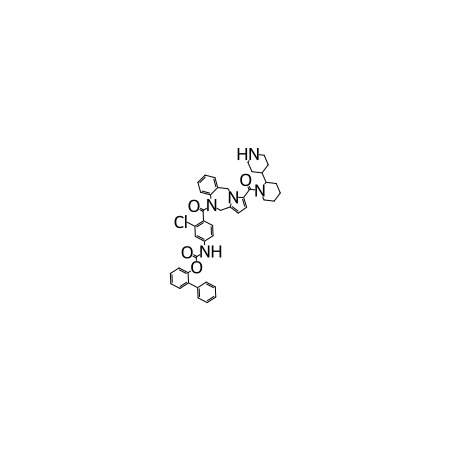 O=C(Nc1ccc(C(=O)N2Cc3ccc(C(=O)N4CCCCC4C4CCNCC4)n3Cc3ccccc32)c(Cl)c1)Oc1ccccc1-c1ccccc1